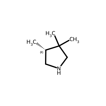 C[C@H]1CNCC1(C)C